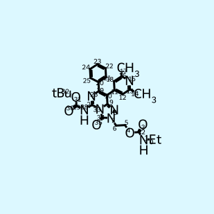 CCNC(=O)OCCn1nc2c(-c3cc(C)nc(C)c3)c(-c3ccccc3)nc(NC(=O)OC(C)(C)C)n2c1=O